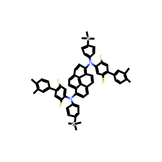 Cc1ccc(-c2cc(F)c(N(c3ccc([Si](C)(C)C)cc3)c3ccc4ccc5c(N(c6ccc([Si](C)(C)C)cc6)c6cc(F)c(-c7ccc(C)c(C)c7)cc6F)ccc6ccc3c4c65)cc2F)cc1C